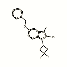 CC(C)c1c(I)c2cc(OCc3ccccc3)ccc2n1C1CC(F)(F)C1